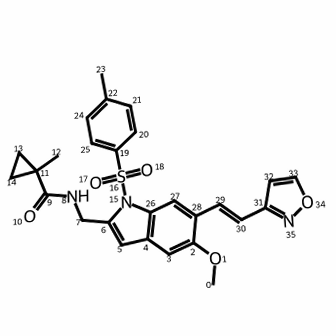 COc1cc2cc(CNC(=O)C3(C)CC3)n(S(=O)(=O)c3ccc(C)cc3)c2cc1C=Cc1ccon1